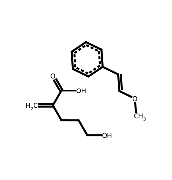 C=C(CCCO)C(=O)O.COC=Cc1ccccc1